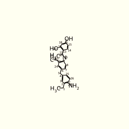 CCc1cc(Cc2ccc(/N=C(\C)c3ccc(O)cc3O)c(CC)c2)ccc1N